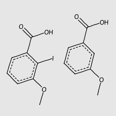 COc1cccc(C(=O)O)c1.COc1cccc(C(=O)O)c1I